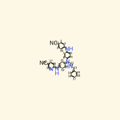 N#Cc1ccc(Nc2ccc(N(CNCc3ccccc3)[C@H]3CC[C@H](Nc4ccc(C#N)cn4)CC3)cc2)cc1